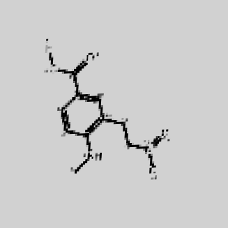 CNc1ccc(C(=O)OF)cc1CC[N+](=O)[O-]